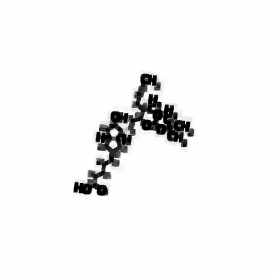 CC#CCC(C)[C@@H](/C=C/[C@@H]1[C@H]2C/C(=C/CCCC(=O)O)C[C@H]2C[C@H]1O)OC(=O)OC(C)(C)C